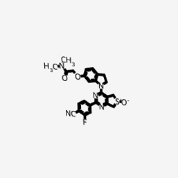 CN(C)C(=O)COc1ccc2c(c1)N(c1nc(-c3ccc(C#N)c(F)c3)nc3c1C[S+]([O-])C3)CC2